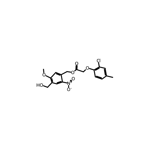 COc1cc(COC(=O)COc2ccc(C)cc2Cl)c([N+](=O)[O-])cc1CO